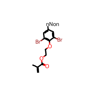 C=C(C)C(=O)OCCOc1c(Br)cc(CCCCCCCCC)cc1Br